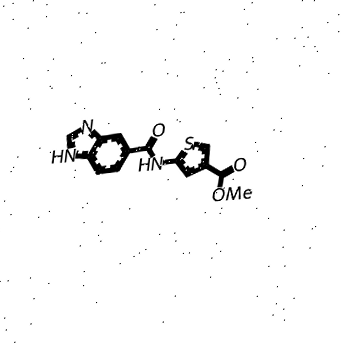 COC(=O)c1csc(NC(=O)c2ccc3[nH]cnc3c2)c1